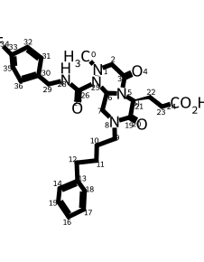 CN1CC(=O)N2C(CN(CCCCc3ccccc3)C(=O)[C@@H]2CCC(=O)O)N1C(=O)NCc1ccc(F)cc1